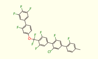 Cc1ccc(-c2cc(F)c(-c3cc(F)c(C(F)(F)Oc4ccc(-c5cc(F)c(F)c(F)c5)c(F)c4)c(F)c3)c(Cl)c2)c(F)c1